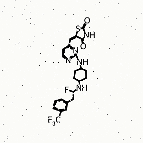 O=C1NC(=O)/C(=C\c2ccnc(NC3CCC(NC(F)Cc4cccc(C(F)(F)F)c4)CC3)n2)S1